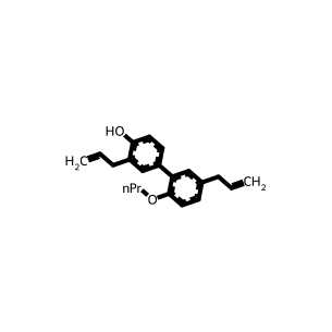 C=CCc1ccc(OCCC)c(-c2ccc(O)c(CC=C)c2)c1